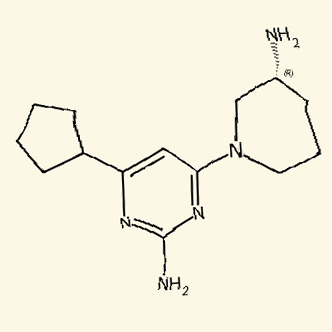 Nc1nc(C2CCCC2)cc(N2CCC[C@@H](N)C2)n1